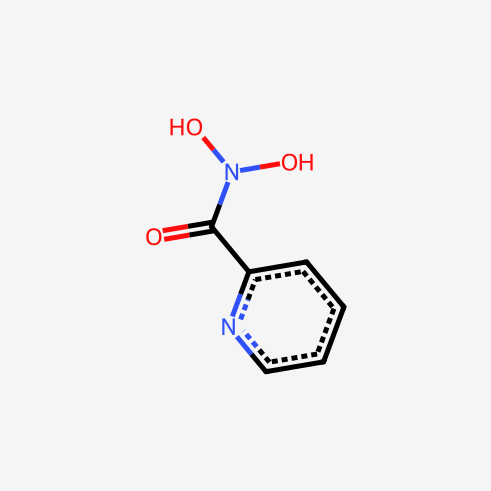 O=C(c1ccccn1)N(O)O